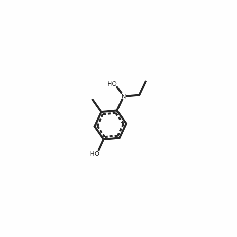 CCN(O)c1ccc(O)cc1C